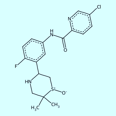 CC1(C)CNC(c2cc(NC(=O)c3ccc(Cl)cn3)ccc2F)C[S+]1[O-]